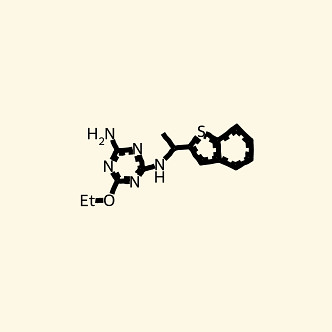 CCOc1nc(N)nc(NC(C)c2cc3ccccc3s2)n1